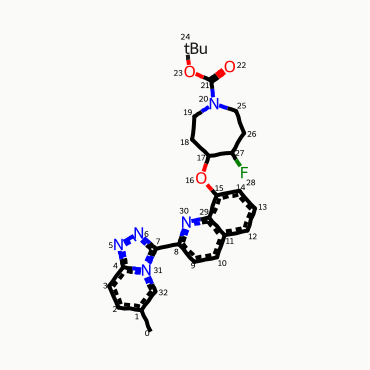 Cc1ccc2nnc(-c3ccc4cccc(OC5CCN(C(=O)OC(C)(C)C)CCC5F)c4n3)n2c1